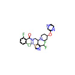 O=C(NCC(c1scnc1C(F)F)N1CCC(Oc2cnccn2)CC1)c1c(F)cccc1Cl